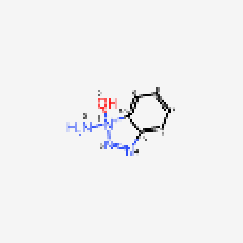 N[N+]1(O)N=Nc2ccccc21